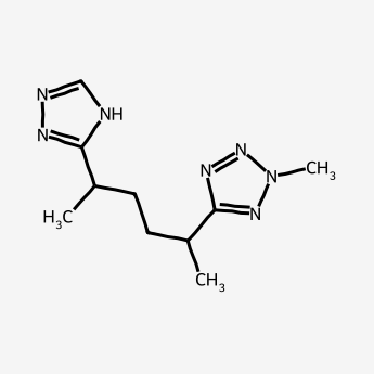 CC(CCC(C)c1nnc[nH]1)c1nnn(C)n1